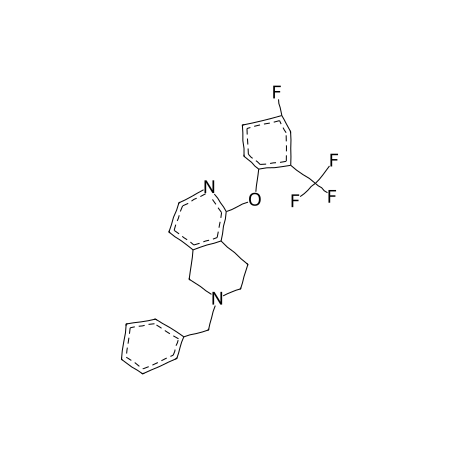 Fc1ccc(Oc2nccc3c2CCN(Cc2ccccc2)C3)c(C(F)(F)F)c1